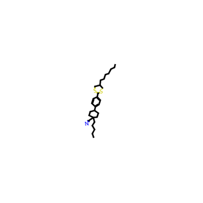 CCCCCCCC1CSC(c2ccc(C3CCC(C#N)(CCCCC)CC3)cc2)SC1